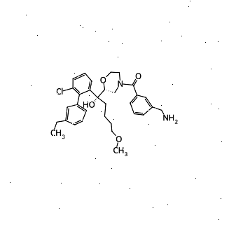 CCc1cccc(-c2c(Cl)cccc2[C@](O)(CCCCOC)[C@H]2CN(C(=O)c3cccc(CN)c3)CCO2)c1